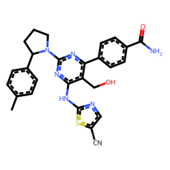 Cc1ccc(C2CCCN2c2nc(Nc3ncc(C#N)s3)c(CO)c(-c3ccc(C(N)=O)cc3)n2)cc1